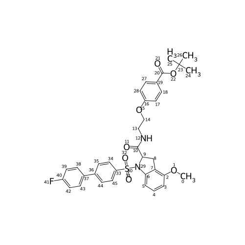 COc1cccc2c1CC(C(=O)NCCOc1ccc(C(=O)OC(C)(C)C)cc1)N2S(=O)(=O)c1ccc(-c2ccc(F)cc2)cc1